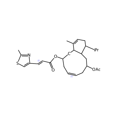 CC(=O)OC1C/C=C\CC(OC(=O)/C=C/c2csc(C)n2)CC2C(C)=CCC(C(C)C)C2C1